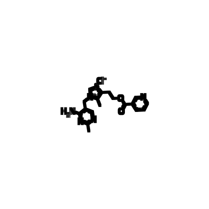 Cc1ncc(C[n+]2csc(CCOC(=O)c3cccnc3)c2C)c(N)n1.[Cl-]